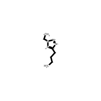 CCCCc1nnn(CC)n1